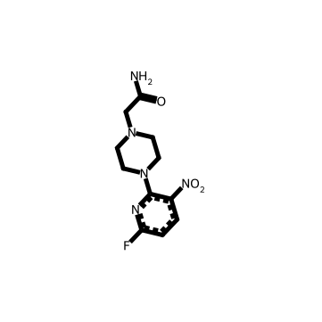 NC(=O)CN1CCN(c2nc(F)ccc2[N+](=O)[O-])CC1